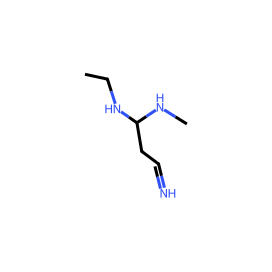 CCNC(CC=N)NC